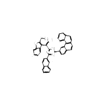 C1=C(c2nc(-c3ccc4ccccc4c3)nc(-c3ccc4ccc5ccc6ccccc6c5c4c3)n2)c2c(oc3ccccc23)CN1